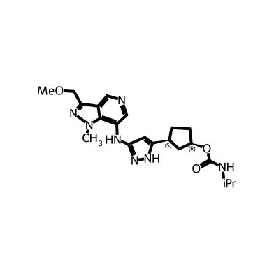 COCc1nn(C)c2c(Nc3cc([C@H]4CC[C@@H](OC(=O)NC(C)C)C4)[nH]n3)cncc12